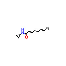 CCC=CCCC=CC(=O)NC1CC1